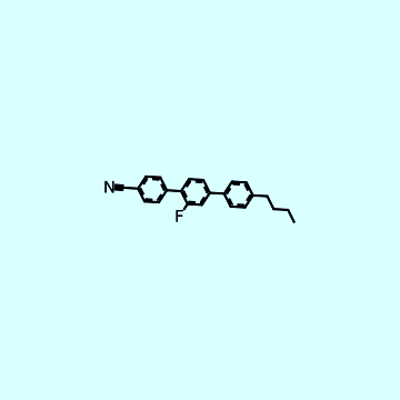 CCCCc1ccc(-c2ccc(-c3ccc(C#N)cc3)c(F)c2)cc1